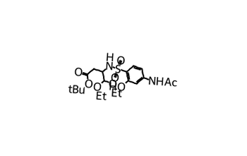 CCOC(OCC)C(CC(=O)OC(C)(C)C)NS(=O)(=O)c1ccc(NC(C)=O)cc1O